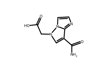 NC(=O)c1cn(CC(=O)O)n2ccnc12